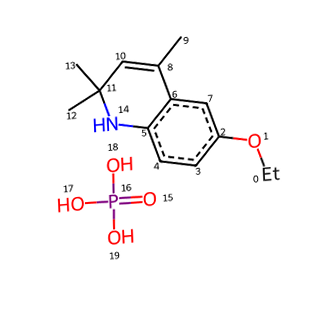 CCOc1ccc2c(c1)C(C)=CC(C)(C)N2.O=P(O)(O)O